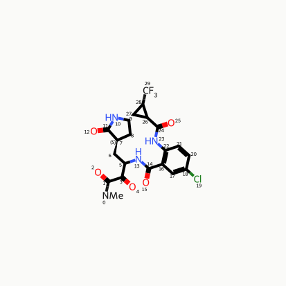 CNC(=O)C(=O)C(C[C@@H]1CCNC1=O)NC(=O)c1cc(Cl)ccc1NC(=O)C1CC1C(F)(F)F